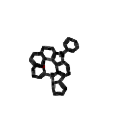 c1ccc(-n2c3ccc4ccccc4c3c3c2ccc2c4ccccc4p(-c4ccccc4)c23)cc1